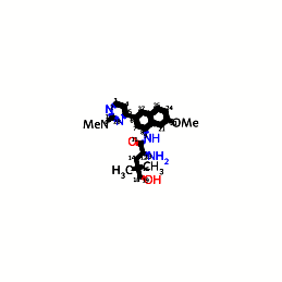 CNc1nccc(-c2cc(NC(=O)C(N)CC(C)(C)CO)c3cc(OC)ccc3c2)n1